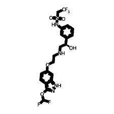 O=S(=O)(CC(F)(F)F)Nc1cccc([C@@H](O)CNCCOc2ccc3c(OC(F)F)n[nH]c3c2)c1